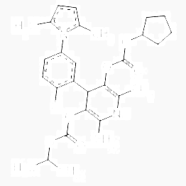 CC1=C(OC(=O)OC(C)C)C(c2cc(-n3c(C)ccc3C)ccc2Cl)C(OC(=O)OC2CCCC2)=C(C)N1